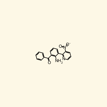 Nc1c(C(=O)c2ccccc2)cccc1-c1ncccc1[N+](=O)[O-]